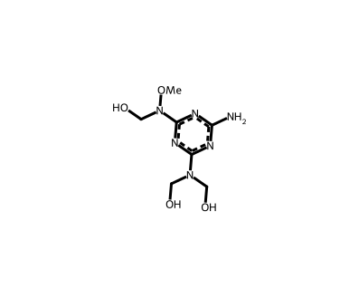 CON(CO)c1nc(N)nc(N(CO)CO)n1